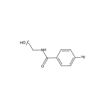 O=C(O)CNC(=O)c1ccc([18F])cc1